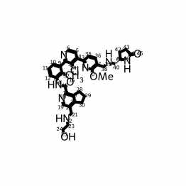 COc1nc(-c2ccnc(-c3cccc(NC(=O)c4ncc(CNCCO)c5c4CCC5)c3C)c2Cl)ccc1CNC[C@@H]1CCC(=O)N1